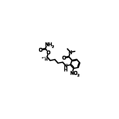 C[C@@H](CCCCNc1c(C(=O)N(C)C)cccc1[N+](=O)[O-])OC(N)=O